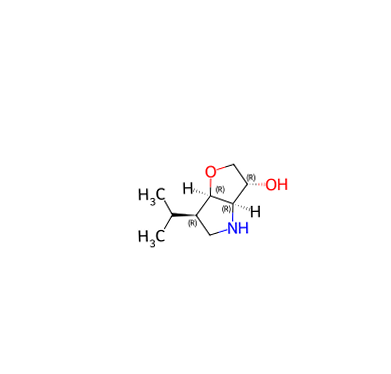 CC(C)[C@@H]1CN[C@H]2[C@@H]1OC[C@@H]2O